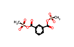 CS(=O)(=O)OC(=O)c1cccc(C(=O)OS(C)(=O)=O)c1